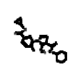 Cc1ccc(C(=O)NC2CC2)cc1-n1cnc(C(=O)NC2CCCCC2)c1N